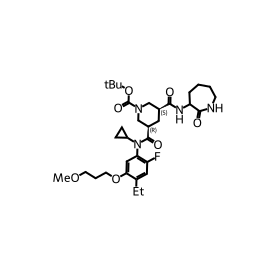 CCc1cc(F)c(N(C(=O)[C@@H]2C[C@H](C(=O)NC3CCCCNC3=O)CN(C(=O)OC(C)(C)C)C2)C2CC2)cc1OCCCOC